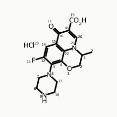 CC1COc2c(N3CCNCC3)c(F)cc3c(=O)c(C(=O)O)cn1c23.Cl